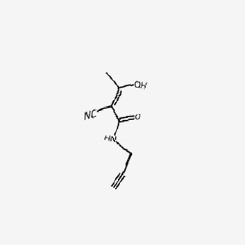 C#CCNC(=O)/C(C#N)=C(/C)O